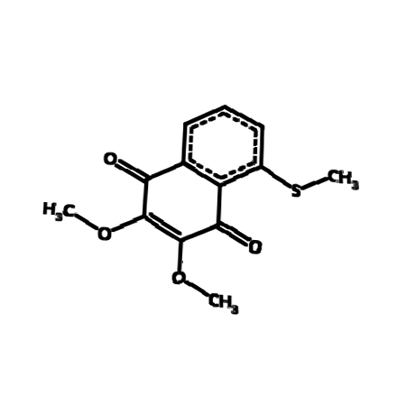 COC1=C(OC)C(=O)c2c(SC)cccc2C1=O